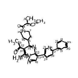 CO[C@H](C)C(=O)N1CCC(c2nc3c(-c4ccc(-c5ccccc5)nc4)cnn3c(N)c2C(C)=O)CC1